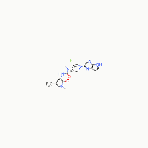 CN(C(=O)Nc1cc(C(F)(F)F)cn(C)c1=O)[C@H]1CCN(c2cnc3[nH]ccc3n2)C[C@H]1F